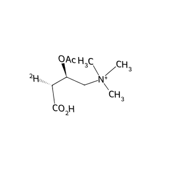 [2H][C@@H](C(=O)O)[C@H](C[N+](C)(C)C)OC(C)=O